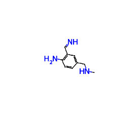 CNCc1ccc(N)c(C=N)c1